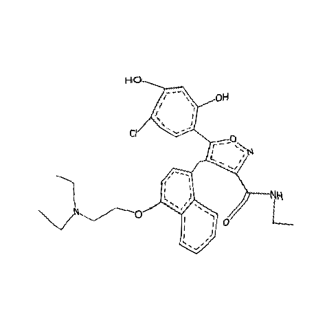 CCNC(=O)c1noc(-c2cc(Cl)c(O)cc2O)c1-c1ccc(OCCN(CC)CC)c2ccccc12